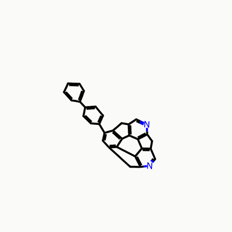 c1ccc(-c2ccc(-c3cc4c5c6c(ncc7c6c6c(ncc8c6c5c3C8)C7)C4)cc2)cc1